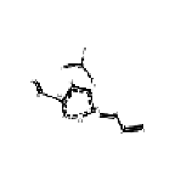 C=C(F)F.C=CC=C.C=Cc1ccccc1